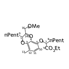 CCCCCC(Oc1cc(OC(CCCCC)C(=O)OCC)ccc1C)C(=O)COC